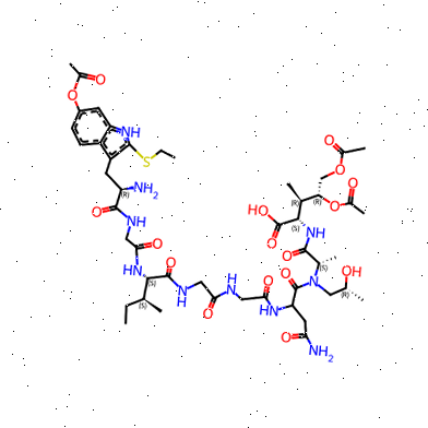 CCSc1[nH]c2cc(OC(C)=O)ccc2c1C[C@@H](N)C(=O)NCC(=O)N[C@H](C(=O)NCC(=O)NCC(=O)NC(CC(N)=O)C(=O)N(C[C@@H](C)O)[C@@H](C)C(=O)N[C@H](C(=O)O)[C@@H](C)[C@H](COC(C)=O)OC(C)=O)[C@@H](C)CC